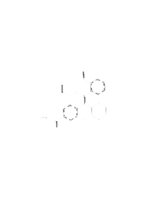 C=Cc1ccccc1/C(CCC(=C)C)=C(/c1ccc(C(=O)OC)cc1C)C1CCCCC1